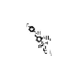 CCOC(=O)Nc1ccc(CNc2ccc(F)cc2)cc1N